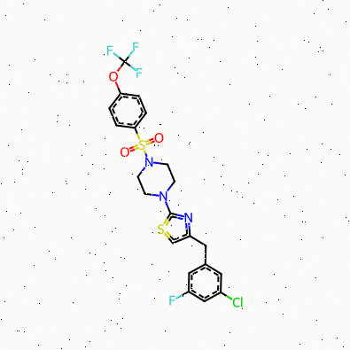 O=S(=O)(c1ccc(OC(F)(F)F)cc1)N1CCN(c2nc(Cc3cc(F)cc(Cl)c3)cs2)CC1